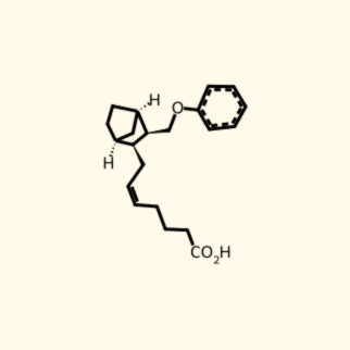 O=C(O)CCC/C=C\C[C@H]1[C@H]2CC[C@H](C2)[C@H]1COc1ccccc1